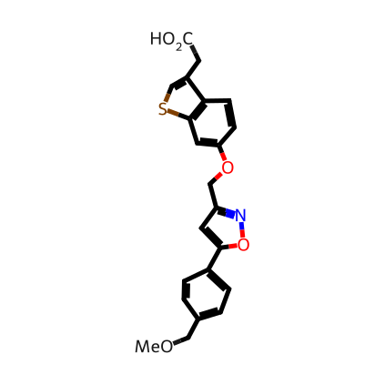 COCc1ccc(-c2cc(COc3ccc4c(CC(=O)O)csc4c3)no2)cc1